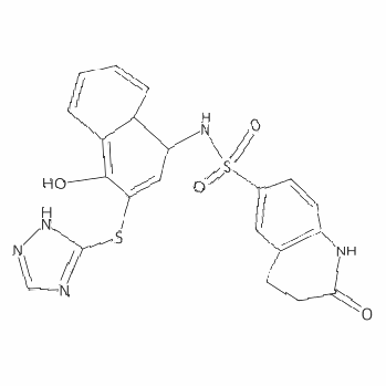 O=C1CCc2cc(S(=O)(=O)NC3C=C(Sc4ncn[nH]4)C(O)=C4C=CC=CC43)ccc2N1